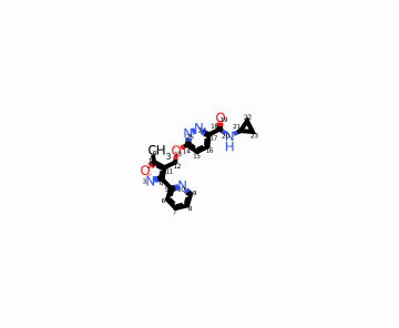 Cc1onc(-c2ccccn2)c1COc1ccc(C(=O)NC2CC2)nn1